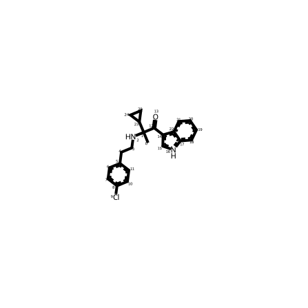 CC(NCCc1ccc(Cl)cc1)(C(=O)c1c[nH]c2ccccc12)C1CC1